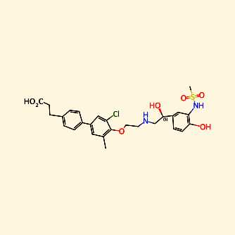 Cc1cc(-c2ccc(CCC(=O)O)cc2)cc(Cl)c1OCCNC[C@@H](O)c1ccc(O)c(NS(C)(=O)=O)c1